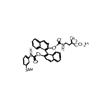 C=C(CCNC(=O)Oc1ccc2ccccc2c1-c1c(OC(=O)Nc2cccc(SC)c2)ccc2ccccc12)C(=O)O